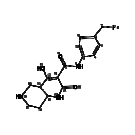 O=C(Nc1ccc(CF)cc1)C1=C(O)C2CNCCC2NC1=O